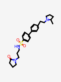 CC1CCCN1CCc1ccc(-c2ccc(S(=O)(=O)NCCCN3CCCC3=O)cc2)cc1